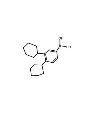 OB(O)c1ccc(C2CCCCC2)c(C2CCCCC2)c1